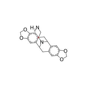 NCCN1C2Cc3cc4c(cc3C1Cc1cc3c(cc12)OCO3)OCO4